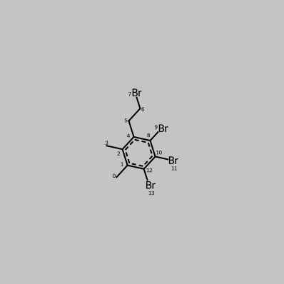 Cc1c(C)c(CCBr)c(Br)c(Br)c1Br